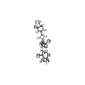 Cn1cnc2ncn(Cc3nn(C4CC(c5ccc(Cl)c(F)c5)C4)c(=O)o3)c(=O)c21